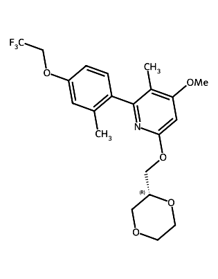 COc1cc(OC[C@H]2COCCO2)nc(-c2ccc(OCC(F)(F)F)cc2C)c1C